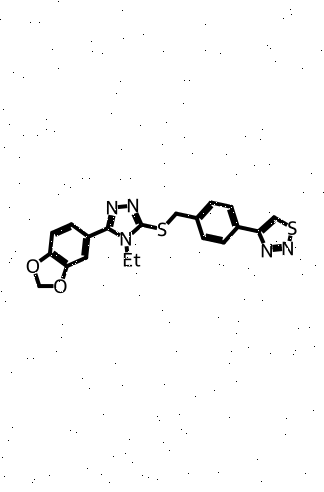 CCn1c(SCc2ccc(-c3csnn3)cc2)nnc1-c1ccc2c(c1)OCO2